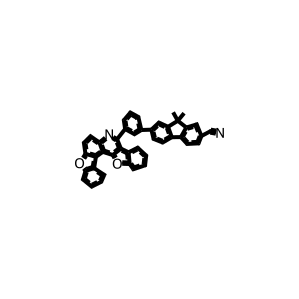 CC1(C)c2cc(C#N)ccc2-c2ccc(-c3cccc(-c4nc5ccc6oc7ccccc7c6c5c5oc6ccccc6c45)c3)cc21